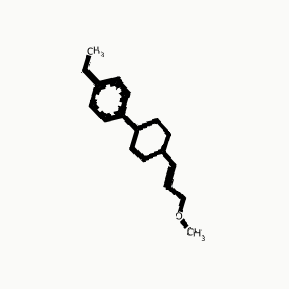 CCc1ccc(C2CCC(C=CCOC)CC2)cc1